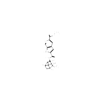 COC(=O)c1cc2cc(C(=O)N[C@H]3C[C@H]4C[C@@H]([C@@H]3C)C4(C)C)[nH]c2cn1